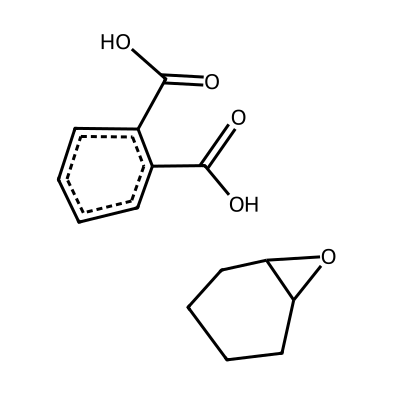 C1CCC2OC2C1.O=C(O)c1ccccc1C(=O)O